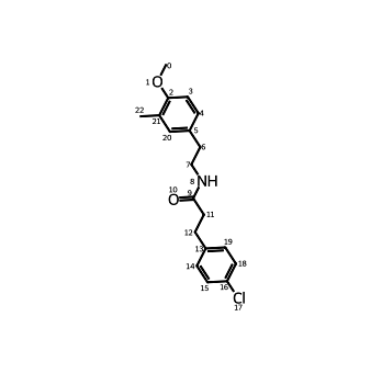 COc1ccc(CCNC(=O)CCc2ccc(Cl)cc2)cc1C